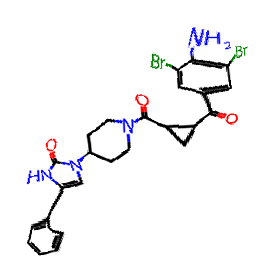 Nc1c(Br)cc(C(=O)C2CC2C(=O)N2CCC(n3cc(-c4ccccc4)[nH]c3=O)CC2)cc1Br